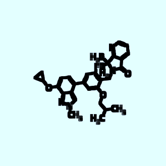 BC1(B)c2ncccc2C(=O)N1Cc1c(F)cc(-c2ccc(OC3CC3)c3nn(C)cc23)cc1OCC(C)C